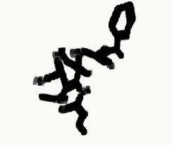 CCCC(=O)NC(=C(NC)C(N)=O)C(C)(CC)NC(=O)CC(C)c1ccccc1